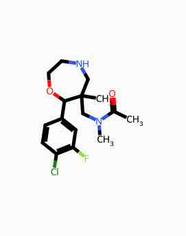 CC(=O)N(C)CC1(C)CNCCOC1c1ccc(Cl)c(F)c1